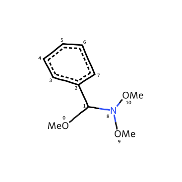 COC(c1ccccc1)N(OC)OC